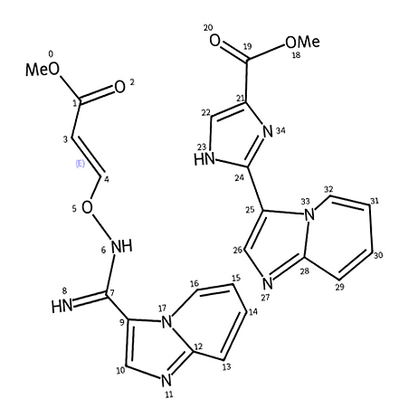 COC(=O)/C=C/ONC(=N)c1cnc2ccccn12.COC(=O)c1c[nH]c(-c2cnc3ccccn23)n1